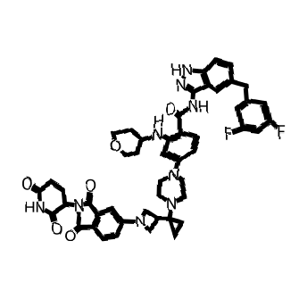 O=C1CCC(N2C(=O)c3ccc(N4CC(C5(N6CCN(c7ccc(C(=O)Nc8n[nH]c9ccc(Cc%10cc(F)cc(F)c%10)cc89)c(NC8CCOCC8)c7)CC6)CC5)C4)cc3C2=O)C(=O)N1